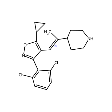 C/C(=C\c1c(-c2c(Cl)cccc2Cl)noc1C1CC1)C1CCNCC1